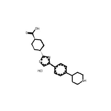 Cl.O=C(O)[C@H]1CC[C@H](c2nc(-c3ccc(C4CCNCC4)cc3)cs2)CC1